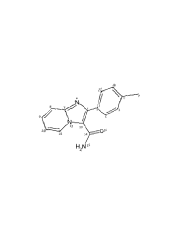 Cc1ccc(-c2nc3ccccn3c2C(N)=O)cc1